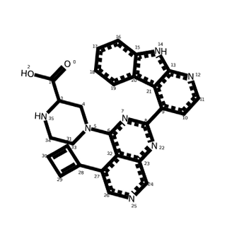 O=C(O)C1CN(c2nc(-c3ccnc4[nH]c5ccccc5c34)nc3cncc(C4=CC=C4)c23)CCN1